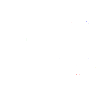 Cc1cc2c(cc1Cl)N(Cc1cc3ccccc3nc1Cl)C(C(=O)NS(C)(=O)=O)C2c1ccc[nH]c1=O